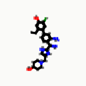 CCc1cc(O)c(F)cc1-c1ccc(C(=N)c2nc(CN3CCC(O)CC3)c[nH]2)c(N)c1